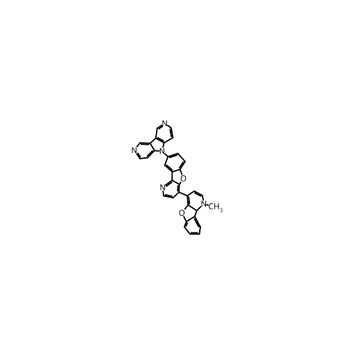 CN1C=CC(c2ccnc3c2oc2ccc(-n4c5ccncc5c5cnccc54)cc23)=C2Oc3ccccc3C21